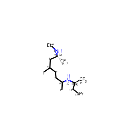 CCN[C@@H](CC(C)CCC(C)N[C@H](CC(C)C)C(F)(F)F)C(F)(F)F